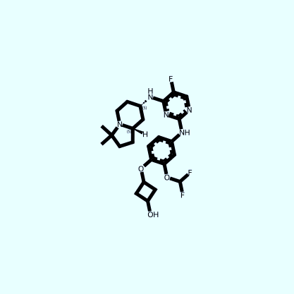 CC1(C)CC[C@H]2C[C@@H](Nc3nc(Nc4ccc(OC5CC(O)C5)c(OC(F)F)c4)ncc3F)CCN21